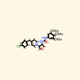 COc1cc(NC(=O)NC2COCC2N2CCC(Cc3ccc(Cl)cc3)CC2)cc(OC)c1OC